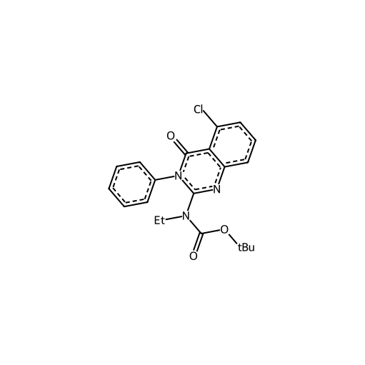 CCN(C(=O)OC(C)(C)C)c1nc2cccc(Cl)c2c(=O)n1-c1ccccc1